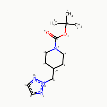 CC(C)(C)OC(=O)N1CCC(Cn2nccn2)CC1